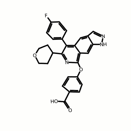 O=C(O)c1ccc(Oc2nc(C3CCOCC3)c(-c3ccc(F)cc3)c3cc4cn[nH]c4cc23)cc1